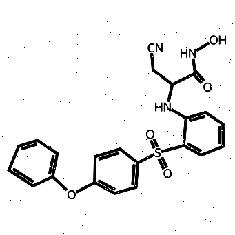 N#CCC(Nc1ccccc1S(=O)(=O)c1ccc(Oc2ccccc2)cc1)C(=O)NO